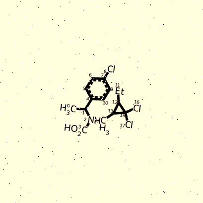 CC(NC(=O)O)c1ccc(Cl)cc1.CCC1C(C)C1(Cl)Cl